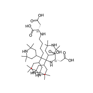 CC1(C)CC(C(CCCCN[C@@H](CC(=O)O)C(=O)O)(C2CC(C)(C)NC(C)(C)C2)C(N[C@@H](CC(=O)O)C(=O)O)(C2CC(C)(C)NC(C)(C)C2)C2CC(C)(C)NC(C)(C)C2)CC(C)(C)N1